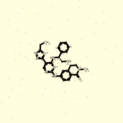 CCc1nnc(-c2cnc(Nc3ccc4c(c3)CCN(C)C4=O)nc2N[C@H](CO)c2ccccc2)o1